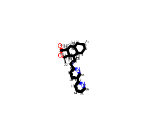 C[C@@H]1CC[C@H]2C(/C=C/c3ccc(-c4ccccn4)cn3)[C@@H]3[C@@H](C)OC(=O)[C@@H]3C[C@@H]2C1